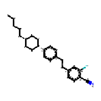 CCCCC[C@H]1CC[C@H](c2ccc(CCc3ccc(C#N)c(F)c3)cc2)CC1